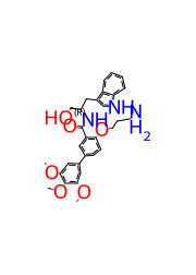 COc1cc(-c2ccc(OCCCN)c(C(=O)N[C@@H](CO)Cc3c[nH]c4ccccc34)c2)cc(OC)c1OC